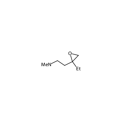 CCC1(CCNC)CO1